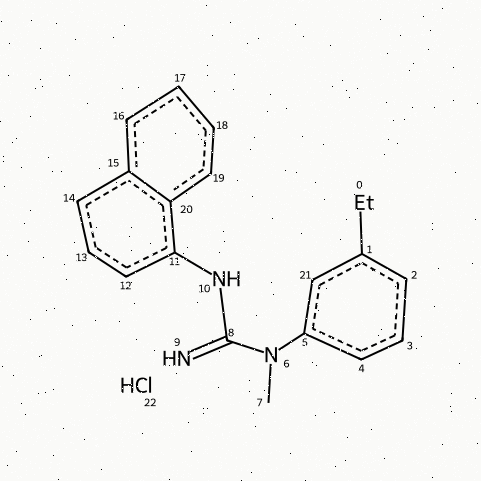 CCc1cccc(N(C)C(=N)Nc2cccc3ccccc23)c1.Cl